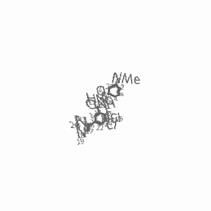 CNc1cccc(S(=O)(=O)NNC(=O)c2cc(-c3cn(C)cn3)cc(Cl)c2F)c1.Cl